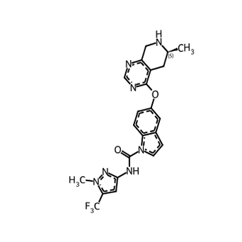 C[C@H]1Cc2c(ncnc2Oc2ccc3c(ccn3C(=O)Nc3cc(C(F)(F)F)n(C)n3)c2)CN1